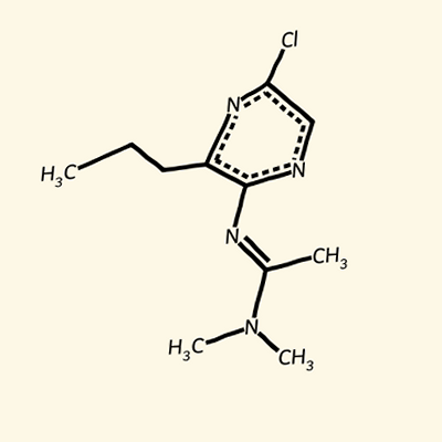 CCCc1nc(Cl)cnc1/N=C(\C)N(C)C